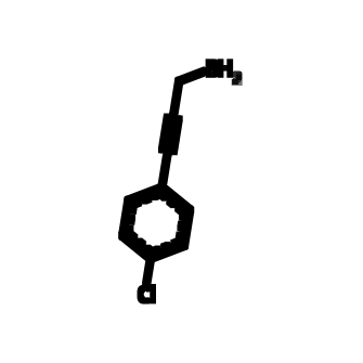 BCC#Cc1ccc(Cl)cc1